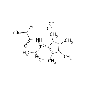 CCCCC(CC)C(=O)[NH][Ti+2]([C]1=C(C)C(C)=C(C)C1C)[SiH](C)C.[Cl-].[Cl-]